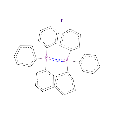 [I-].c1ccc(P(=[N+]=P(c2ccccc2)(c2ccccc2)c2ccccc2)(c2ccccc2)c2ccccc2)cc1